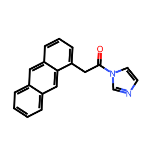 O=C(Cc1cccc2cc3ccccc3cc12)n1ccnc1